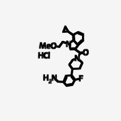 COCCn1cc(C(=O)N2CCC(c3cc(CN)ccc3F)CC2)c2cccc(C3CC3)c21.Cl